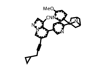 COc1ccc(CN2C3CC2CN(c2ccc(-c4cc(C#CCC5CC5)cn5ncc(C#N)c45)cn2)C3)cn1